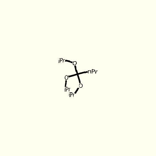 CCCC(OC(C)C)(OC(C)C)OC(C)C